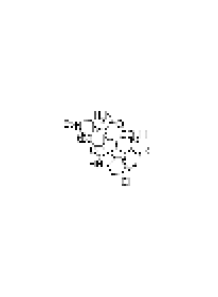 CCN1CCN(C(C(N)=O)N2C(C(=O)O)C(c3cccc(Cl)c3F)C3(C(=O)Nc4cc(Cl)ccc43)C2CC(C)(C)C)CC1